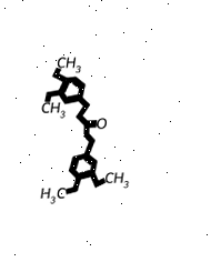 CCc1ccc(CCC(=O)CCc2ccc(CC)c(CC)c2)cc1CC